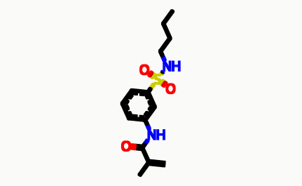 C=C(C)C(=O)Nc1cccc(S(=O)(=O)NCCCC)c1